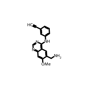 C#Cc1cccc(Nc2ncnc3cc(OC)c(CN)cc23)c1